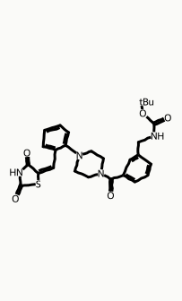 CC(C)(C)OC(=O)NCc1cccc(C(=O)N2CCN(c3ccccc3C=C3SC(=O)NC3=O)CC2)c1